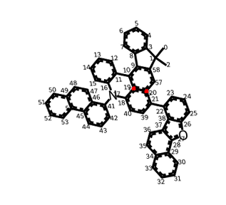 CC1(C)c2ccccc2-c2c(-c3ccccc3N(c3ccc(-c4cccc5oc6c7ccccc7ccc6c45)cc3)c3cccc4c3ccc3ccccc34)cccc21